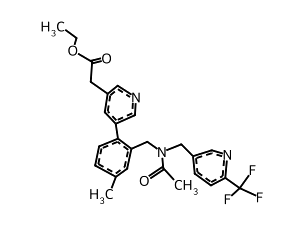 CCOC(=O)Cc1cncc(-c2ccc(C)cc2CN(Cc2ccc(C(F)(F)F)nc2)C(C)=O)c1